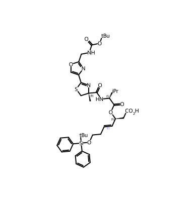 CC(C)[C@H](NC(=O)[C@]1(C)CSC(c2coc(CNC(=O)OC(C)(C)C)n2)=N1)C(=O)O[C@H](/C=C/CCO[Si](c1ccccc1)(c1ccccc1)C(C)(C)C)CC(=O)O